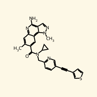 Cc1cc2nc(N)c3cnn(C)c3c2cc1C(=O)N(Cc1ccc(C#Cc2ccsc2)cn1)C1CC1